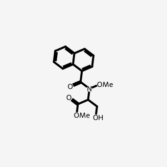 COC(=O)C(CO)N(OC)C(=O)c1cccc2ccccc12